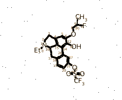 CCN1CCc2cc(OC[C@@H](C)F)c(O)c3c2C1Cc1ccc(OS(=O)(=O)C(F)(F)F)cc1-3